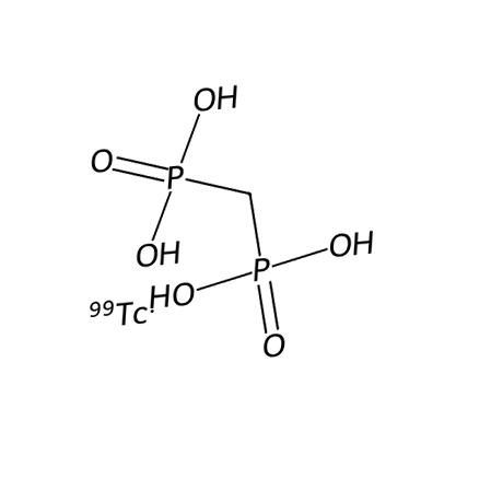 O=P(O)(O)CP(=O)(O)O.[99Tc]